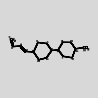 C=CC=CC1CCC(C2CCC(C(Cl)(Cl)Cl)CC2)CC1